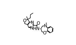 CCCC1(C)OCc2cnc(C(=O)N[C@H]3COc4ccccc4N(C)C3)nc21